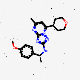 COc1ccc([C@H](C)Nc2nc3nc(C)cc(C4CCOCC4)n3n2)cc1